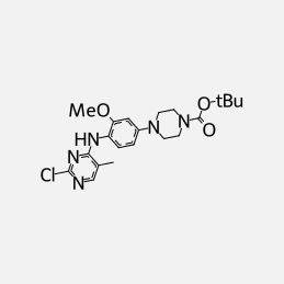 COc1cc(N2CCN(C(=O)OC(C)(C)C)CC2)ccc1Nc1nc(Cl)ncc1C